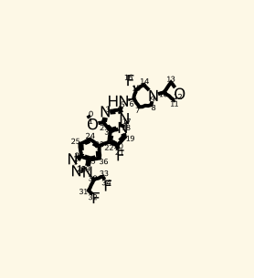 COc1nc(N[C@@H]2CCN(C3COC3)C[C@H]2F)nn2cc(F)c(-c3ccc4nnn(C(CF)CF)c4c3)c12